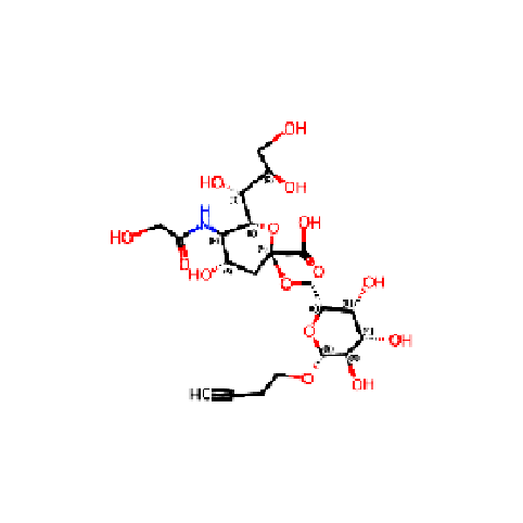 C#CCCO[C@@H]1O[C@H](CO[C@@]2(C(=O)O)C[C@H](O)[C@@H](NC(=O)CO)[C@H]([C@H](O)[C@H](O)CO)O2)[C@H](O)[C@H](O)[C@H]1O